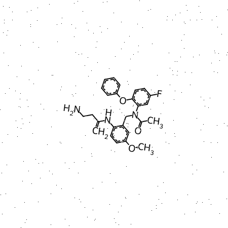 C=C(CCN)Nc1ccc(OC)cc1CN(C(C)=O)c1cc(F)ccc1Oc1ccccc1